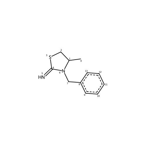 CC1CSC(=N)N1Cc1ccccc1